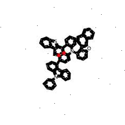 c1ccc(-n2c3ccccc3c3c(-c4ccc(N(c5ccccc5-c5cccc6c5sc5ccccc56)c5cccc6oc7c8ccccc8ccc7c56)cc4)cccc32)cc1